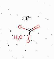 O.O=C([O-])[O-].[Gd+2]